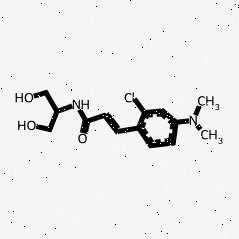 CN(C)c1ccc(/C=C/C(=O)NC(CO)CO)c(Cl)c1